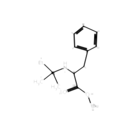 CCC(C)(C)NC(Cc1ccccc1)C(=O)OC(C)(C)C